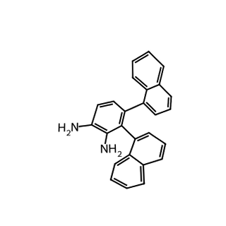 Nc1ccc(-c2cccc3ccccc23)c(-c2cccc3ccccc23)c1N